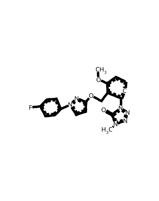 COc1cccc(-n2nnn(C)c2=O)c1COc1ccn(-c2ccc(F)cc2)n1